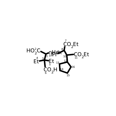 CCCCCCC(C(=O)O)C(CC)(CC)C(=O)O.CCOC(=O)C(C(C)C)C(C(=O)OCC)C1CCCC1